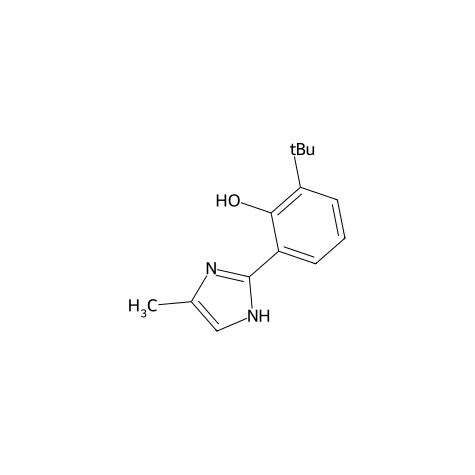 Cc1c[nH]c(-c2cccc(C(C)(C)C)c2O)n1